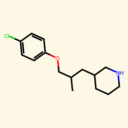 [CH2]C(COc1ccc(Cl)cc1)CC1CCCNC1